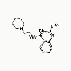 CCSc1nc(NCCN2CCCCC2)c2ccccc2n1